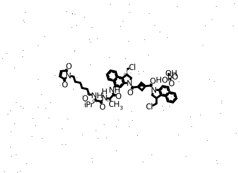 CC(C)[C@H](NC(=O)CCCCCN1C(=O)C=CC1=O)C(=O)N[C@@H](C)C(=O)Nc1cc2c(c3ccccc13)[C@H](CCl)CN2C(=O)C12CC(C(=O)N3CC(CCl)c4c3cc(OP(=O)(O)O)c3ccccc43)(C1)C2